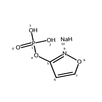 O=P(O)(O)Oc1ccon1.[NaH]